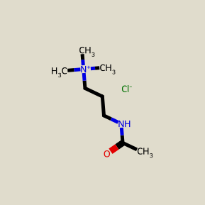 CC(=O)NCCC[N+](C)(C)C.[Cl-]